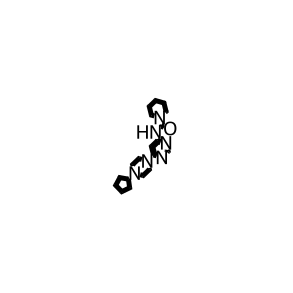 O=C(Nc1cc(N2CCN(C3CCCC3)CC2)ncn1)N1CCCCC1